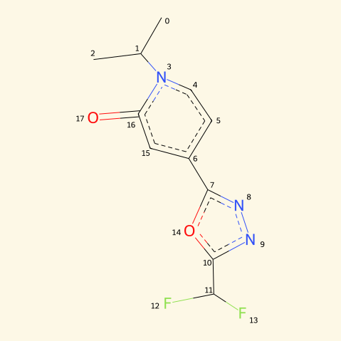 CC(C)n1ccc(-c2nnc(C(F)F)o2)cc1=O